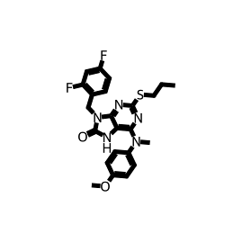 CCCSc1nc(N(C)c2ccc(OC)cc2)c2[nH]c(=O)n(Cc3ccc(F)cc3F)c2n1